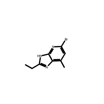 CCc1nc2c(C)cc(Br)nc2[nH]1